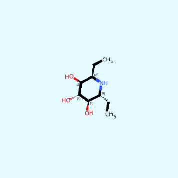 CC[C@H]1N[C@H](CC)[C@@H](O)[C@H](O)[C@H]1O